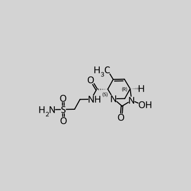 CC1=C[C@@H]2CN(C(=O)N2O)[C@@H]1C(=O)NCCS(N)(=O)=O